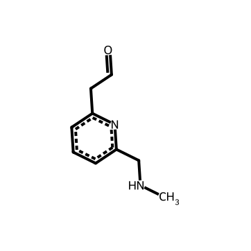 CNCc1cccc(CC=O)n1